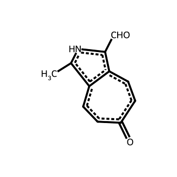 Cc1[nH]c(C=O)c2ccc(=O)ccc12